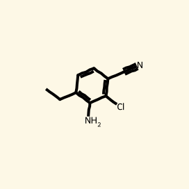 CCc1ccc(C#N)c(Cl)c1N